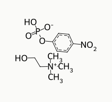 C[N+](C)(C)CCO.O=[N+]([O-])c1ccc(OP(=O)([O-])O)cc1